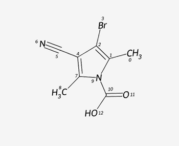 Cc1c(Br)c(C#N)c(C)n1C(=O)O